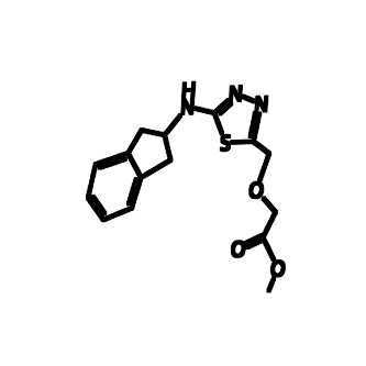 COC(=O)COCc1nnc(NC2Cc3ccccc3C2)s1